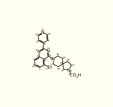 CCc1cncc2nc(-c3ccncc3)nc(N3CCC4(CCN(C(=O)O)C4)CC3)c12